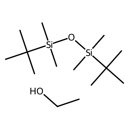 CC(C)(C)[Si](C)(C)O[Si](C)(C)C(C)(C)C.CCO